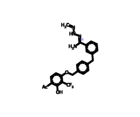 C=NN/N=C(\N)c1cccc(Cc2ccc(COc3ccc(C(C)=O)c(O)c3C(F)(F)F)cc2)c1